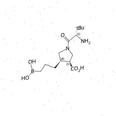 CC(C)(C)[C@H](N)C(=O)N1C[C@H](CCCB(O)O)[C@H](C(=O)O)C1